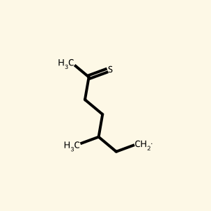 [CH2]CC(C)CCC(C)=S